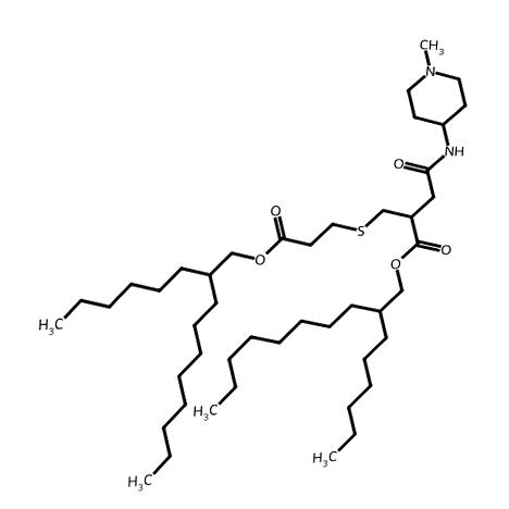 CCCCCCCCC(CCCCCC)COC(=O)CCSCC(CC(=O)NC1CCN(C)CC1)C(=O)OCC(CCCCCC)CCCCCCCC